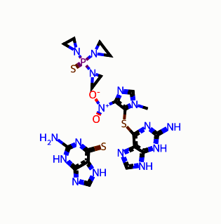 Cn1cnc([N+](=O)[O-])c1Sc1nc(=N)[nH]c2[nH]cnc12.Nc1nc(=S)c2[nH]cnc2[nH]1.S=P(N1CC1)(N1CC1)N1CC1